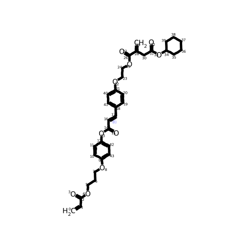 C=CC(=O)OCCCOc1ccc(OC(=O)/C=C/c2ccc(OCCOC(=O)C(=C)CC(=O)OC3CCCCC3)cc2)cc1